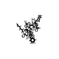 CCCCCCOC(=O)[C@H](C)NP(=O)(OC[C@H]1OC(OC(C)=O)[C@@H](NC(=O)CN=[N+]=[N-])[C@@H](OC(C)=O)[C@@H]1OC(C)=O)Oc1ccccc1